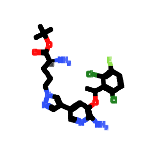 CC(Oc1cc(-c2cnn(CCC[C@H](N)C(=O)OC(C)(C)C)c2)cnc1N)c1c(Cl)ccc(F)c1Cl